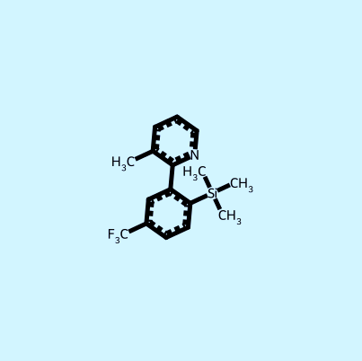 Cc1cccnc1-c1cc(C(F)(F)F)ccc1[Si](C)(C)C